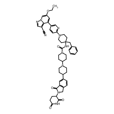 CCOc1cc(-c2ccc(N3CCC(Cc4ccccc4)(NC(=O)N4CCC(N5CCC(c6ccc7c(c6)C(=O)N(C6CCC(=O)NC6=O)C7)CC5)CC4)CC3)nc2)c2c(C#N)cnn2c1